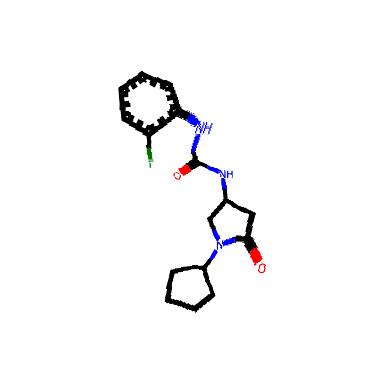 O=C(Nc1ccccc1F)NC1CC(=O)N(C2CCCC2)C1